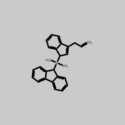 C=CCC1=CC([Si](C)(C)C2c3ccccc3-c3ccccc32)c2ccccc21